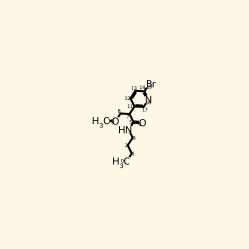 CCCCNC(=O)C(COC)c1ccc(Br)nc1